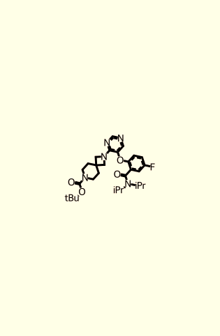 CC(C)N(C(=O)c1cc(F)ccc1Oc1cncnc1N1CC2(CCN(C(=O)OC(C)(C)C)CC2)C1)C(C)C